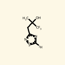 [2H]c1nc(CC(C)(O)C(F)(F)F)ns1